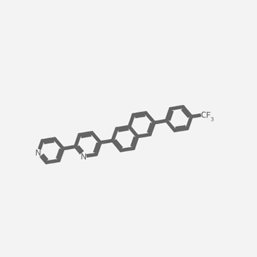 FC(F)(F)c1ccc(-c2ccc3cc(-c4ccc(-c5ccncc5)nc4)ccc3c2)cc1